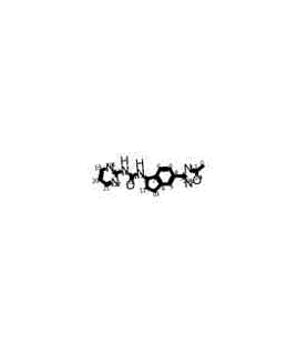 Cc1nc(-c2ccc3c(c2)CCC3NC(=O)Nc2ncccn2)no1